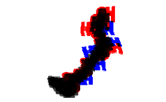 C[C@H](CCCOP(=O)(O)N[C@@H](CCC(=O)O)C(=O)O)NC(=O)CCC(NC(=O)CCCCCNC(=O)CCOCCOCCNC(=O)CCC(=O)N1Cc2ccccc2/C=C\c2ccccc21)C(=O)O